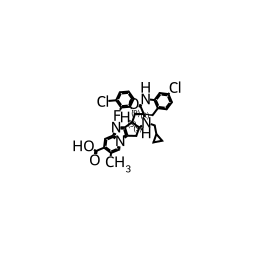 Cc1cn2c3c(nc2cc1C(=O)O)[C@@H]1[C@H](C3)N(CC2CC2)[C@]2(Cc3ccc(Cl)cc3NC2=O)[C@H]1c1cccc(Cl)c1F